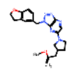 C=C(CC1CCN(c2cnc3nnn(Cc4ccc5c(c4)CCO5)c3n2)C1)OC(C)(C)C